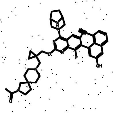 C#Cc1cccc2cc(O)cc(-c3c(F)cc4c(N5CC6CCC(C5)N6)nc(OCC5(CN6CCC7(CC6)CCN(C(C)=O)C7)CC5)nc4c3F)c12